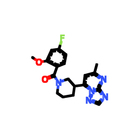 COc1cc(F)ccc1C(=O)N1CCCC(c2cc(C)nc3ncnn23)C1